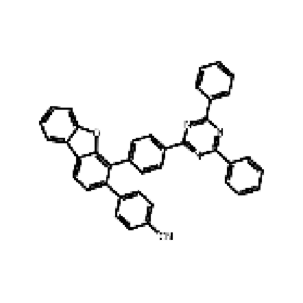 N#Cc1ccc(-c2ccc3c(oc4ccccc43)c2-c2ccc(-c3nc(-c4ccccc4)nc(-c4ccccc4)n3)cc2)cc1